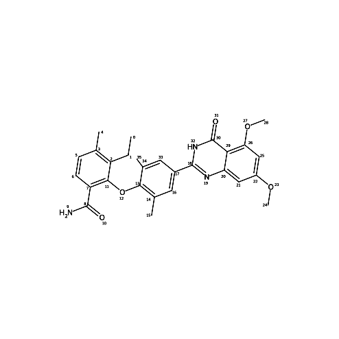 CCc1c(C)ccc(C(N)=O)c1Oc1c(C)cc(-c2nc3cc(OC)cc(OC)c3c(=O)[nH]2)cc1C